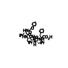 CC(C)CC(NC(=O)[C@H](CC(C)C)NC(=O)COc1ccccc1)[C@@H](O)CC(=O)N[C@@H](CC(C)C)C(=O)N[C@@H](Cc1ccccc1)C(=O)O